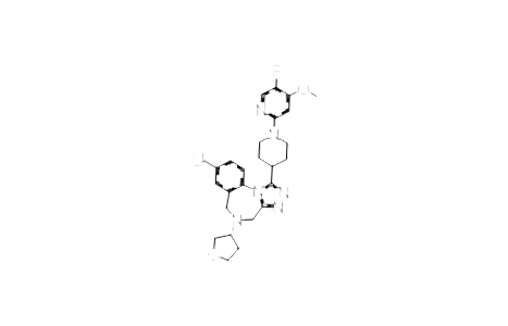 COc1cc(N2CCC(c3nnc4n3-c3ccc(Cl)cc3CN([C@H]3CCOC3)C4)CC2)ncc1F